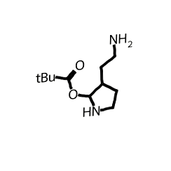 CC(C)(C)C(=O)OC1NCCC1CCN